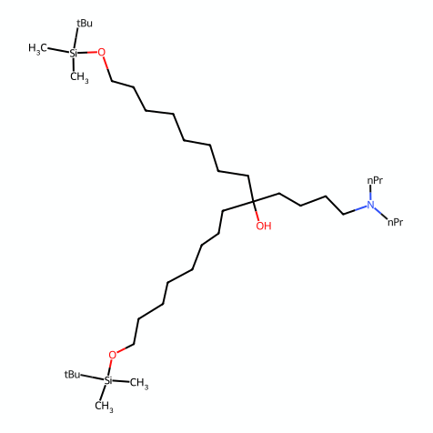 CCCN(CCC)CCCCC(O)(CCCCCCCCO[Si](C)(C)C(C)(C)C)CCCCCCCCO[Si](C)(C)C(C)(C)C